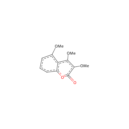 COc1c(OC)c2c(OC)cccc2oc1=O